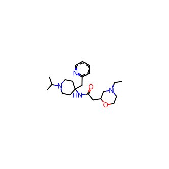 CCN1CCOC(CC(=O)NC2(Cc3ccccn3)CCN(C(C)C)CC2)C1